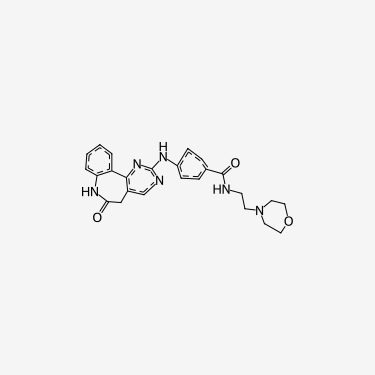 O=C1Cc2cnc(Nc3ccc(C(=O)NCCN4CCOCC4)cc3)nc2-c2ccccc2N1